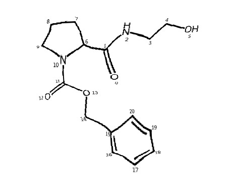 O=C(NCCO)C1CCCN1C(=O)OCc1ccccc1